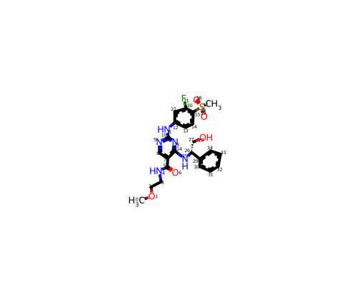 COCCNC(=O)c1cnc(Nc2ccc(S(C)(=O)=O)c(F)c2)nc1N[C@H](CO)c1ccccc1